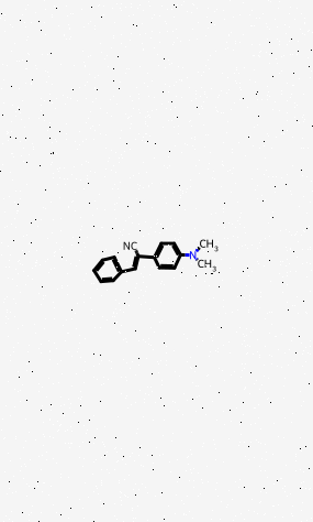 CN(C)c1ccc(C(C#N)=Cc2ccccc2)cc1